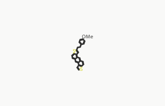 COc1ccc(CCc2cc3c(ccc4cc5c(ccc6sccc65)cc43)s2)cc1